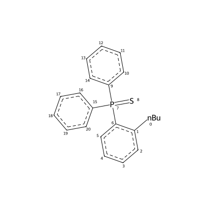 CCCCc1ccccc1P(=S)(c1ccccc1)c1ccccc1